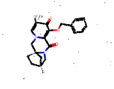 CCOC(=O)c1cn2c(c(OCc3ccccc3)c1=O)C(=O)N1C[C@H]3CC[C@@]1(C3)C2